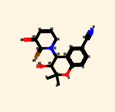 CC1(C)Oc2ccc(C#N)cc2C(N2CC=CC(=O)C2=S)C1O